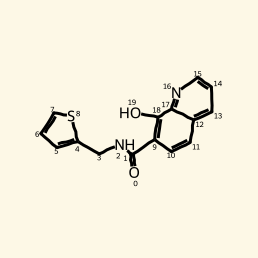 O=C(NCc1cccs1)c1ccc2cccnc2c1O